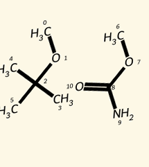 COC(C)(C)C.COC(N)=O